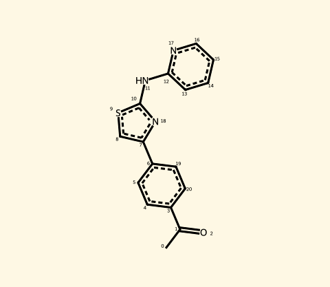 CC(=O)c1ccc(-c2csc(Nc3ccccn3)n2)cc1